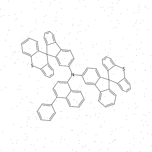 c1ccc(-c2ccc(N(c3ccc4c(c3)-c3ccccc3C43c4ccccc4Sc4ccccc43)c3ccc4c(c3)C3(c5ccccc5Sc5ccccc53)c3ccccc3-4)c3ccccc23)cc1